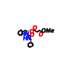 COC(=O)/C=C/C(=O)OC[C@@H](Cc1ccccc1)NC(=O)NCc1ccccc1